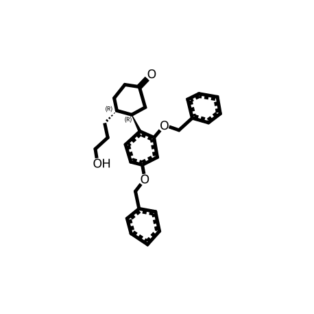 O=C1CC[C@@H](CCCO)[C@H](c2ccc(OCc3ccccc3)cc2OCc2ccccc2)C1